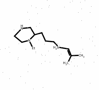 CCN1CCNCC1CCC[SiH2]C=C(C)C